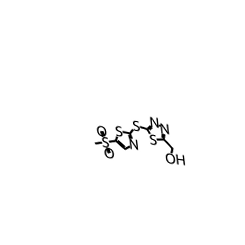 CS(=O)(=O)c1cnc(Sc2nnc(CO)s2)s1